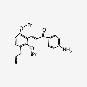 C=CCc1ccc(OC(C)C)c(C=CC(=O)c2ccc(N)cc2)c1OC(C)C